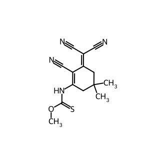 COC(=S)NC1=C(C#N)C(=C(C#N)C#N)CC(C)(C)C1